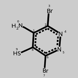 Nc1c(Br)nnc(Br)c1S